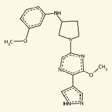 COc1cccc(NC2CCN(c3cnc(-c4cn[nH]c4)c(OC)n3)C2)c1